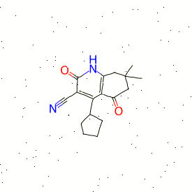 CC1(C)CC(=O)c2c([nH]c(=O)c(C#N)c2C2CCCC2)C1